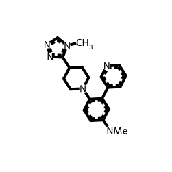 CNc1ccc(N2CCC(c3nncn3C)CC2)c(-c2cccnc2)c1